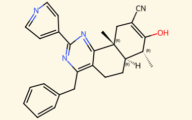 C[C@H]1C(O)=C(C#N)C[C@@]2(C)c3nc(-c4ccncc4)nc(Cc4ccccc4)c3CC[C@H]12